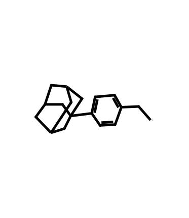 [CH2]Cc1ccc(C23CC4CC(CC(C4)C2)C3)cc1